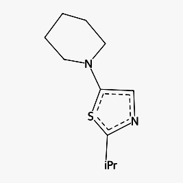 CC(C)c1ncc(N2CCCCC2)s1